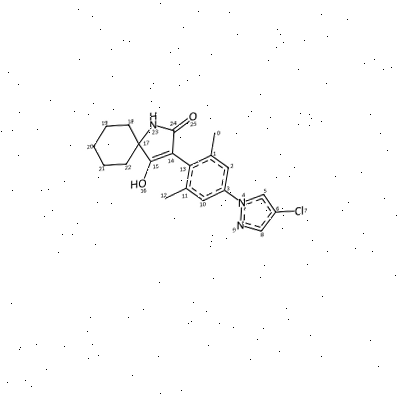 Cc1cc(-n2cc(Cl)cn2)cc(C)c1C1=C(O)C2(CCCCC2)NC1=O